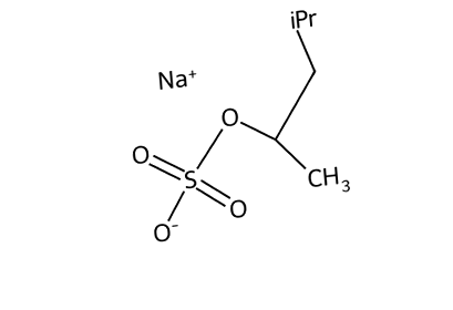 CC(C)CC(C)OS(=O)(=O)[O-].[Na+]